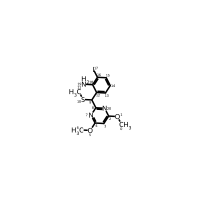 COc1cc(OC)nc(C(SC)c2cccc(I)c2N)n1